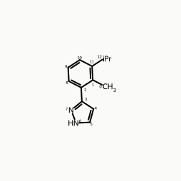 Cc1c(-c2cc[nH]n2)cccc1C(C)C